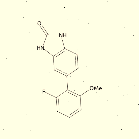 COc1cccc(F)c1-c1ccc2[nH]c(=O)[nH]c2c1